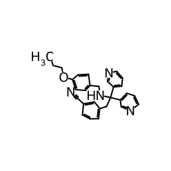 CCCOc1ccc(CNC(Cc2cccc(C#N)c2)(c2cccnc2)c2cccnc2)cc1